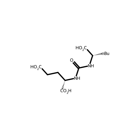 CCCC[C@H](NC(=O)N[C@@H](CCC(=O)O)C(=O)O)C(=O)O